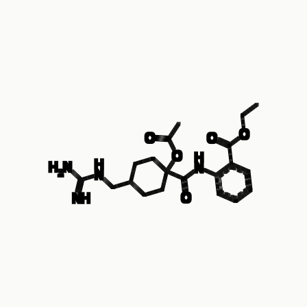 CCOC(=O)c1ccccc1NC(=O)C1(OC(C)=O)CCC(CNC(=N)N)CC1